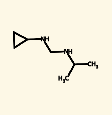 CC(C)NCNC1CC1